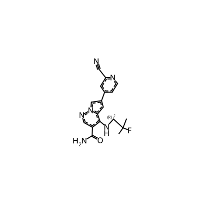 C[C@@H](Nc1c(C(N)=O)cnn2cc(-c3ccnc(C#N)c3)cc12)C(C)(C)F